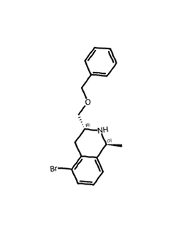 C[C@@H]1N[C@@H](COCc2ccccc2)Cc2c(Br)cccc21